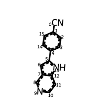 N#Cc1ccc(-c2cc3cnccc3[nH]2)cc1